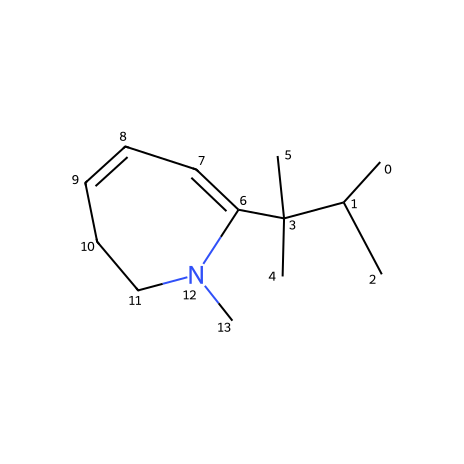 CC(C)C(C)(C)C1=CC=CCCN1C